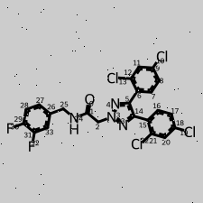 O=C(Cn1nc(-c2ccc(Cl)cc2Cl)c(-c2ccc(Cl)cc2Cl)n1)NCc1ccc(F)c(F)c1